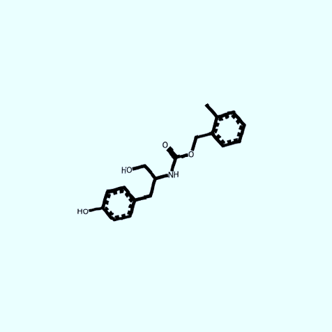 Cc1ccccc1COC(=O)NC(CO)Cc1ccc(O)cc1